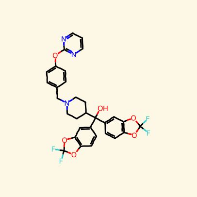 OC(c1ccc2c(c1)OC(F)(F)O2)(c1ccc2c(c1)OC(F)(F)O2)C1CCN(Cc2ccc(Oc3ncccn3)cc2)CC1